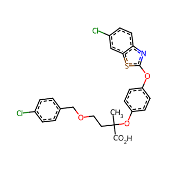 CC(CCOCc1ccc(Cl)cc1)(Oc1ccc(Oc2nc3ccc(Cl)cc3s2)cc1)C(=O)O